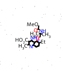 CCc1ccc2nc(C)c(C(=O)O)c(N)c2c1OCC(C)(C)NC(=O)COC